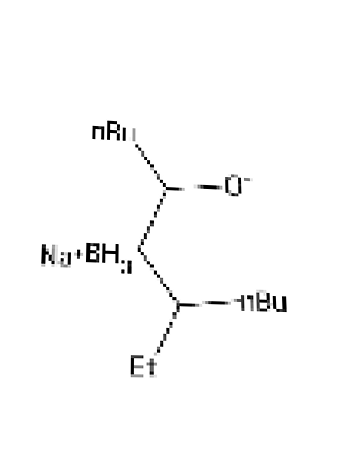 B.CCCCC([O-])CC(CC)CCCC.[Na+]